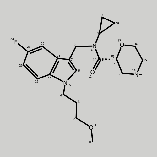 COCCCn1cc(CN(C(=O)[C@H]2CNCCO2)C2CC2)c2cc(F)ccc21